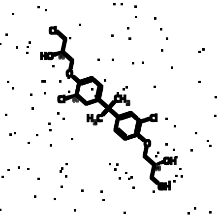 CC(C)(C1=CC=C(OC[C@@H](O)CCl)[C@H](Cl)C1)c1ccc(OC[C@H](O)CO)c(Cl)c1